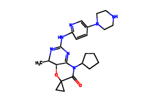 CC1N=C(Nc2ccc(N3CCNCC3)cn2)N=C2C1OC1(CC1)C(=O)N2C1CCCC1